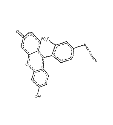 O=C(O)c1cc(N=C=S)ccc1-c1c2ccc(=O)cc-2oc2cc(O)ccc12